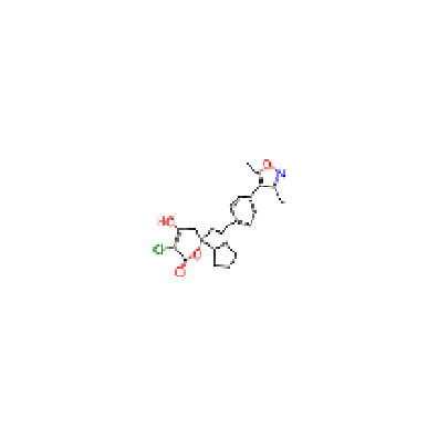 Cc1noc(C)c1-c1ccc(CCC2(C3CCCC3)CC(O)=C(Cl)C(=O)O2)cc1